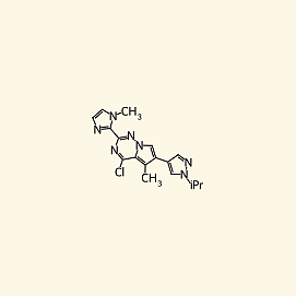 Cc1c(-c2cnn(C(C)C)c2)cn2nc(-c3nccn3C)nc(Cl)c12